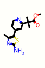 COC(=O)C(C)(C)c1cc(-c2sc(N)nc2C)ccn1